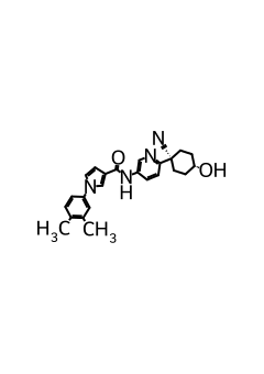 Cc1ccc(-n2ccc(C(=O)Nc3ccc([C@]4(C#N)CC[C@@H](O)CC4)nc3)c2)cc1C